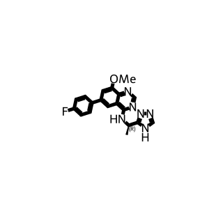 COc1cc(-c2ccc(F)cc2)cc2c(N[C@H](C)c3nnc[nH]3)ncnc12